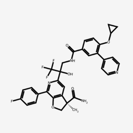 C[C@]1(C(N)=O)COc2c1cc(C(O)(CNC(=O)c1ccc(OC3CC3)c(-c3ccncc3)c1)C(F)(F)F)nc2-c1ccc(F)cc1